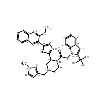 COc1nc2ccccc2cc1-c1cnc(C2CN(Cc3ccn(C)n3)CCN2C(=O)Cn2c(C(F)(F)F)nc3ccccc32)[nH]1